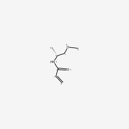 C=CC(=O)N[C@H](C)COC